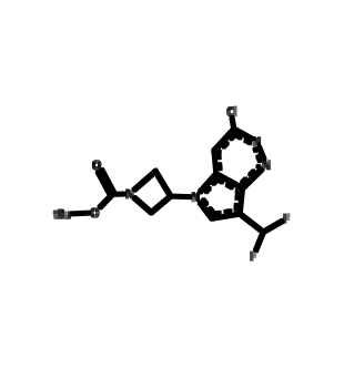 CC(C)(C)OC(=O)N1CC(n2cc(C(F)F)c3nnc(Cl)cc32)C1